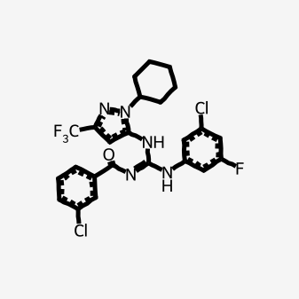 O=C(/N=C(/Nc1cc(F)cc(Cl)c1)Nc1cc(C(F)(F)F)nn1C1CCCCC1)c1cccc(Cl)c1